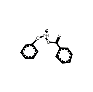 O=C(O[PH](=O)Oc1ccccc1)c1ccccc1